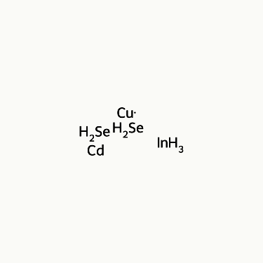 [Cd].[Cu].[InH3].[SeH2].[SeH2]